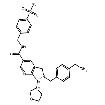 CCS(=O)(=O)c1ccc(CNC(=O)c2cnc3c(c2)CN(Cc2ccc(CN)cc2)[C@@H]3[C@H]2CCOC2)cc1